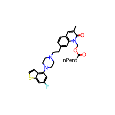 CCCCCC(=O)OCn1c(=O)c(C)cc2ccc(CCN3CCN(c4cc(F)cc5sccc45)CC3)cc21